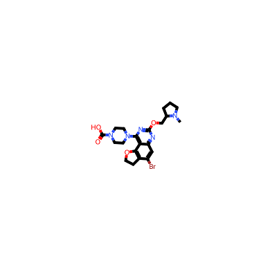 CN1CCCC1COc1nc(N2CCN(C(=O)O)CC2)c2c3c(c(Br)cc2n1)CCO3